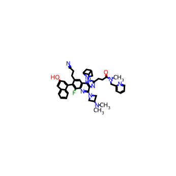 CN(Cc1ccccn1)C(=O)CCc1nc2c(N3CC(N(C)C)C3)nc3c(F)c(-c4cc(O)cc5ccccc45)c(CCC#N)cc3c2n1C1C2CNC1C2